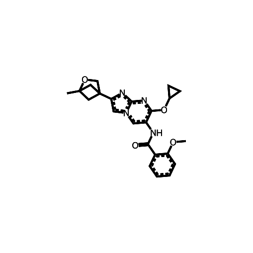 COc1ccccc1C(=O)Nc1cn2cc(C34COC(C)(C3)C4)nc2nc1OC1CC1